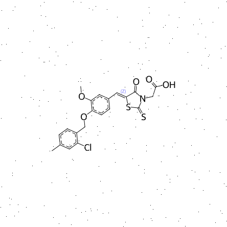 COc1cc(/C=C2\SC(=S)N(CC(=O)O)C2=O)ccc1OCc1ccc(C)cc1Cl